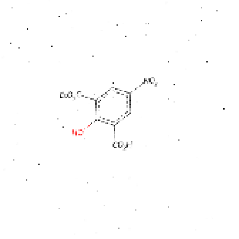 CCOC(=O)c1cc([N+](=O)[O-])cc(C(=O)O)c1O